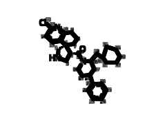 O=C([C@@H]1CNC[C@]12CCCc1nc(Cl)ccc12)N1CCC(c2ccccc2)CC1CC1CCCCC1